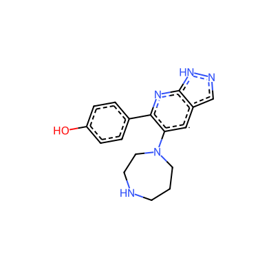 Oc1ccc(-c2nc3[nH]ncc3[c]c2N2CCCNCC2)cc1